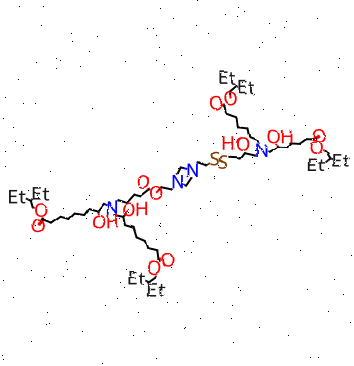 CCC(CC)COC(=O)CCCCCCC(O)CN(CCCCC(=O)OCCN1CCN(CCSSCCCCN(CC(O)CCCCC(=O)OCC(CC)CC)CC(O)CCCCC(=O)OCC(CC)CC)CC1)CC(O)CCCCCCC(=O)OCC(CC)CC